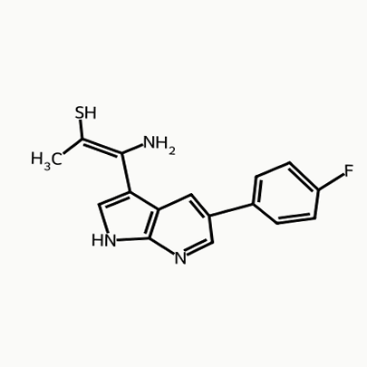 C/C(S)=C(/N)c1c[nH]c2ncc(-c3ccc(F)cc3)cc12